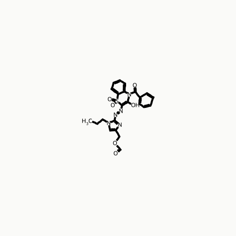 CCCn1cc(COC=O)nc1N=NC1=C(O)N(C(=O)c2ccccc2)c2ccccc2S1(=O)=O